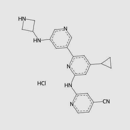 Cl.N#Cc1ccnc(Nc2cc(C3CC3)cc(-c3cncc(NC4CNC4)c3)n2)c1